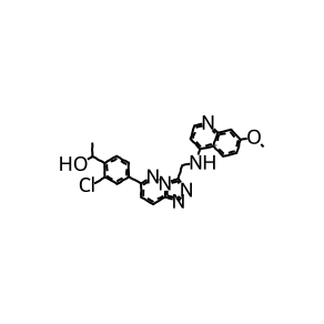 COc1ccc2c(NCc3nnc4ccc(-c5ccc(C(C)O)c(Cl)c5)nn34)ccnc2c1